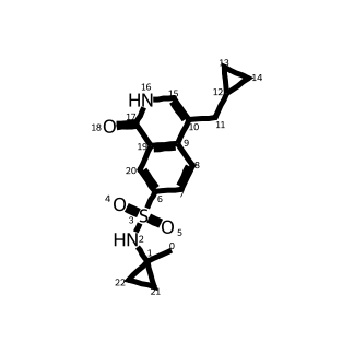 CC1(NS(=O)(=O)c2ccc3c(CC4CC4)c[nH]c(=O)c3c2)CC1